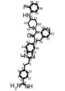 Cn1c(CCc2ccc(C(=N)N)cc2)nc2cc(N(Cc3ccncc3)C(=O)CN3CCC(Nc4ccccc4F)CC3)ccc21